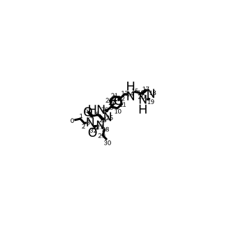 CCCn1c(=O)c2[nH]c(C34CCC(CNCc5cnc[nH]5)(CC3)CC4)nc2n(CCC)c1=O